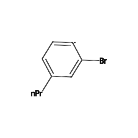 CCCc1cc[c]c(Br)c1